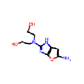 Nc1cc2[nH]c(N(CCO)CCO)nc2o1